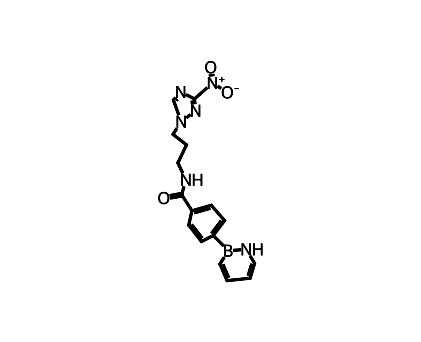 O=C(NCCCn1cnc([N+](=O)[O-])n1)c1ccc(B2C=CC=CN2)cc1